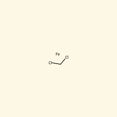 ClCCl.[Fe]